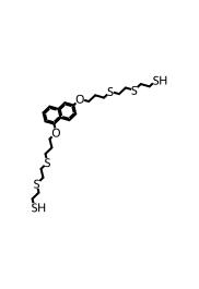 SCCSCCSCCCOc1ccc2c(OCCCSCCSCCS)cccc2c1